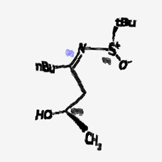 CCCC/C(C[C@@H](C)O)=N/[S@+]([O-])C(C)(C)C